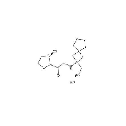 Cl.N#C[C@@H]1CCCN1C(=O)CNC1(CO)CC2(CCCC2)C1